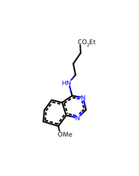 CCOC(=O)CCCNc1ncnc2c(OC)cccc12